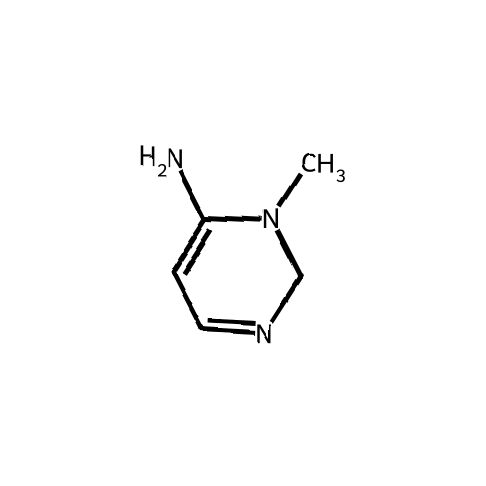 CN1CN=CC=C1N